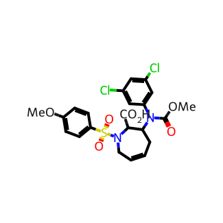 COC(=O)N(c1cc(Cl)cc(Cl)c1)C1CC=CCN(S(=O)(=O)c2ccc(OC)cc2)C1C(=O)O